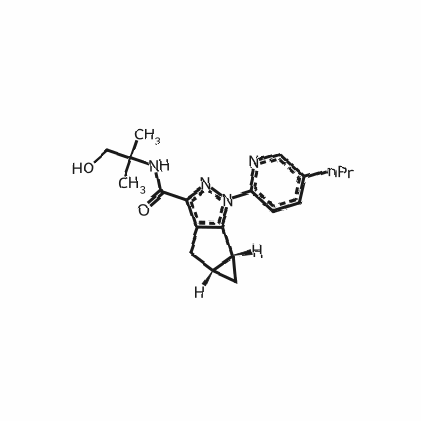 CCCc1ccc(-n2nc(C(=O)NC(C)(C)CO)c3c2[C@@H]2C[C@@H]2C3)nc1